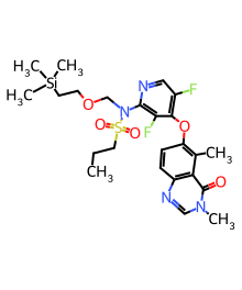 CCCS(=O)(=O)N(COCC[Si](C)(C)C)c1ncc(F)c(Oc2ccc3ncn(C)c(=O)c3c2C)c1F